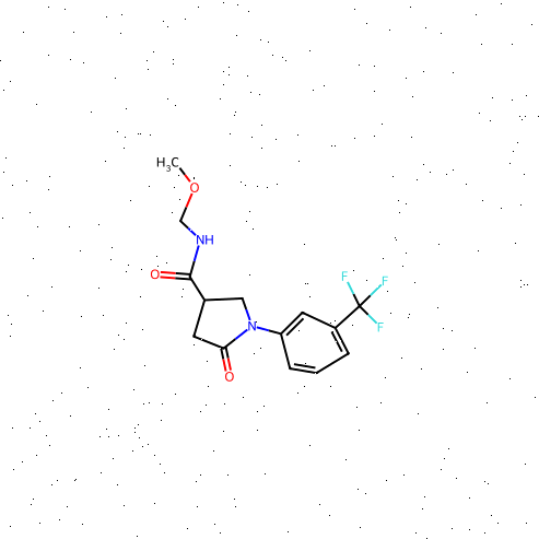 COCNC(=O)C1CC(=O)N(c2cccc(C(F)(F)F)c2)C1